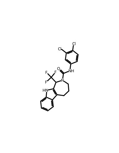 O=C(Nc1ccc(Cl)c(Cl)c1)N1CCCc2c([nH]c3ccccc23)C1C(F)(F)F